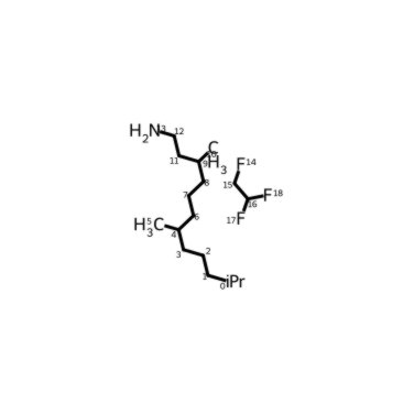 CC(C)CCCC(C)CCCC(C)CCN.FCC(F)F